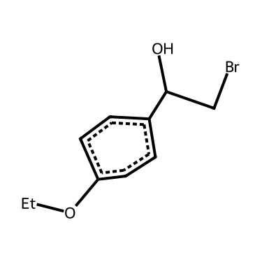 CCOc1ccc(C(O)CBr)cc1